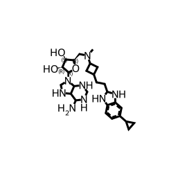 CN(C[C@H]1O[C@@H](N2CNC3C(N)NCNC32)[C@H](O)[C@@H]1O)C1CC(CCC2Nc3ccc(C4CC4)cc3N2)C1